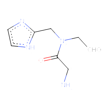 NCC(=O)N(C[C]=O)Cc1ncc[nH]1